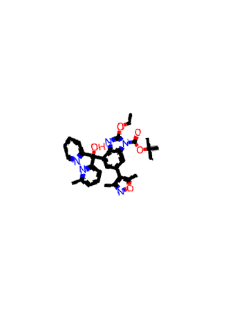 CCOc1nc2c(C(O)(c3ccccn3)c3cccc(C)n3)cc(-c3c(C)noc3C)cc2n1C(=O)OC(C)(C)C